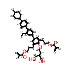 C=C(C)C(=O)OCCCc1cc(-c2ccc(-c3ccc(C4CCC(C)CC4)cc3)c(CC)c2)cc(CCCOC(=O)C(=C)C)c1OCCC(CO)CO